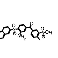 Cc1ccc(C(=O)c2ccc(S(=O)(=O)c3ccc4ccccc4c3)c(N)c2)cc1S(=O)(=O)O